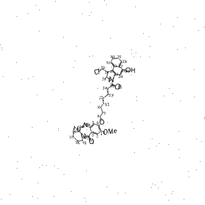 COc1cc2c(cc1OCCCCCCCC(=O)N1C[C@@H](CCl)c3c1cc(O)c1ccccc31)N=C[C@@H]1CCCCN1C2=O